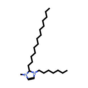 CCCCCCCCCCCCCCC1N(C)C=CN1CCCCCCC